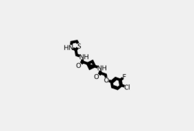 O=C(COc1ccc(Cl)c(F)c1)NC12CC(C(=O)NCC3NCCS3)(C1)C2